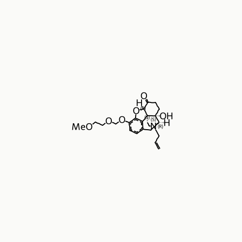 C=CCN1CC[C@]23c4c5ccc(OCOCCOC)c4O[C@H]2C(=O)CC[C@@]3(O)[C@H]1C5